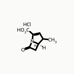 CC1C=C(C(=O)O)N2C(=O)C[C@H]12.Cl